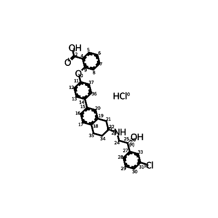 Cl.O=C(O)c1ccccc1Oc1ccc(-c2ccc3c(c2)C[C@@H](NC[C@H](O)c2cccc(Cl)c2)CC3)cc1